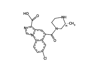 C[C@@H]1CN(C(=O)c2cc3c(C(=O)O)ncn3c3ccc(Cl)cc23)CCN1